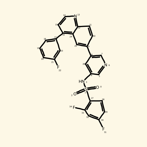 O=S(=O)(Nc1cncc(-c2ccc3nccc(-c4cccc(F)c4)c3c2)c1)c1ccc(F)cc1F